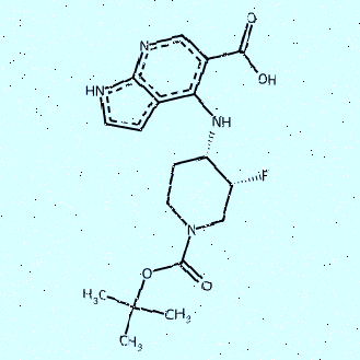 CC(C)(C)OC(=O)N1CC[C@H](Nc2c(C(=O)O)cnc3[nH]ccc23)[C@H](F)C1